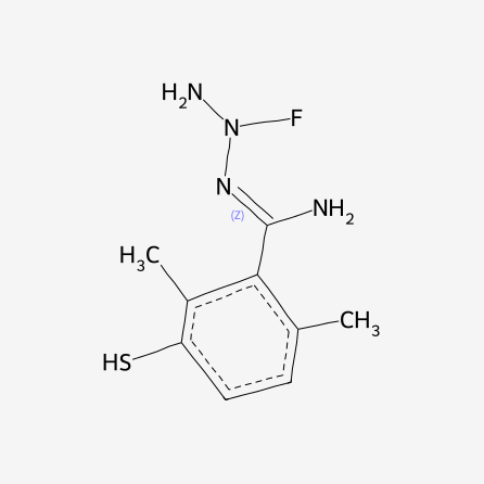 Cc1ccc(S)c(C)c1/C(N)=N/N(N)F